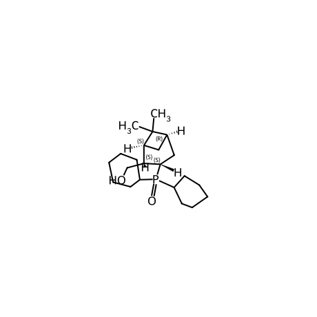 CC1(C)[C@@H]2C[C@H]1[C@@H](CO)[C@@H](P(=O)(C1CCCCC1)C1CCCCC1)C2